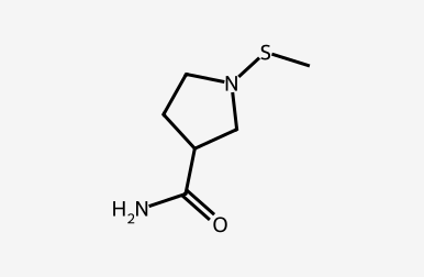 CSN1CCC(C(N)=O)C1